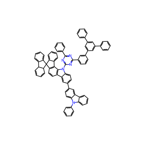 C1=CC2c3ccccc3C3(c4ccccc4-c4c3ccc3c5cc(-c6ccc7c(c6)c6ccccc6n7-c6ccccc6)ccc5n(-c5nc(-c6ccccc6)nc(-c6cccc(-c7cc(-c8ccccc8)cc(-c8ccccc8)c7)c6)n5)c43)C2C=C1